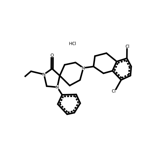 CCN1CN(c2ccccc2)C2(CCN(C3CCc4c(Cl)ccc(Cl)c4C3)CC2)C1=O.Cl